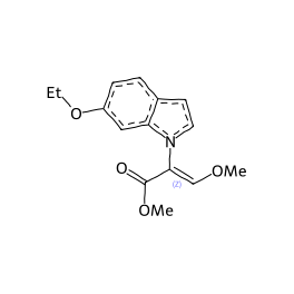 CCOc1ccc2ccn(/C(=C\OC)C(=O)OC)c2c1